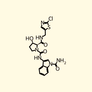 NC(=O)n1cc(NC(=O)N2CC[C@@H](O)[C@H]2C(=O)NCc2cnc(Cl)s2)c2ccccc21